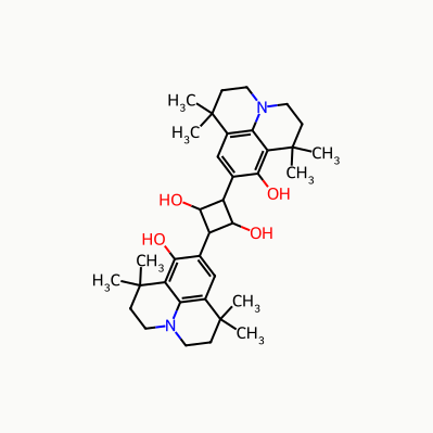 CC1(C)CCN2CCC(C)(C)c3c(O)c(C4C(O)C(c5cc6c7c(c5O)C(C)(C)CCN7CCC6(C)C)C4O)cc1c32